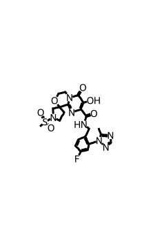 Cc1ncnn1-c1cc(F)ccc1CNC(=O)c1nc2n(c(=O)c1O)CCOC21CCN(S(C)(=O)=O)C1